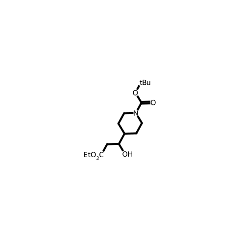 CCOC(=O)CC(O)C1CCN(C(=O)OC(C)(C)C)CC1